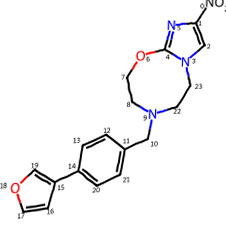 O=[N+]([O-])c1cn2c(n1)OCCN(Cc1ccc(-c3ccoc3)cc1)CC2